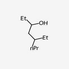 CCCC(CC)CC(O)CC